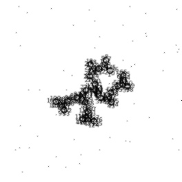 c1ccc(N(c2ccccc2)c2ccc3c(c2)c2ccccc2n3-c2cccc(-c3ccc4nc(-c5cccc(-n6c7ccccc7c7cc(-c8ccc9c(c8)c8ccccc8n9-c8ccccc8)ccc76)c5)nc(-c5cccc(-n6c7ccc(-c8ccc9c(c8)c8ccccc8n9-c8ccccc8)cc7c7cc(-c8ccc9c(c8)c8ccccc8n9-c8ccccc8)ccc76)c5)c4c3)c2)cc1